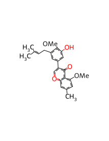 COc1c(O)cc(-c2coc3cc(C)cc(OC)c3c2=O)cc1CC=C(C)C